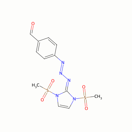 CS(=O)(=O)n1ccn(S(C)(=O)=O)c1=NN=Nc1ccc(C=O)cc1